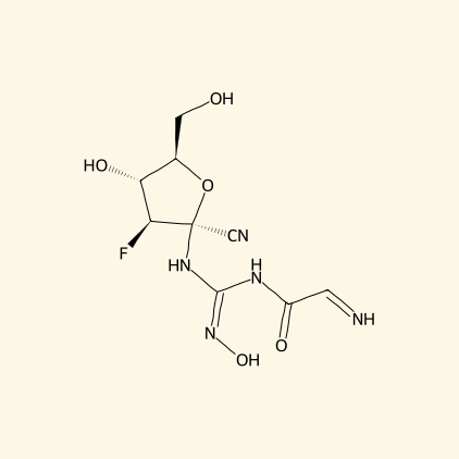 N#C[C@@]1(N/C(=N/O)NC(=O)C=N)O[C@H](CO)[C@@H](O)[C@@H]1F